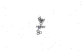 N=C(N/N=C/c1ccc(Cl)c(Cl)c1)c1ccc(S(=O)(=O)Nc2nccs2)cc1